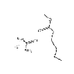 CCCCCC(=O)OC.Cl.NC(N)=O